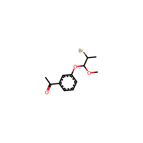 COC(Oc1cccc(C(C)=O)c1)C(C)Br